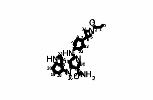 CCC(=O)N1CC(c2ccc(Nc3cc(N(C)c4cccc5[nH]ccc45)c(C(N)=O)cn3)cc2)C1